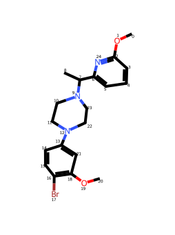 COc1cccc(C(C)N2CCN(c3ccc(Br)c(OC)c3)CC2)n1